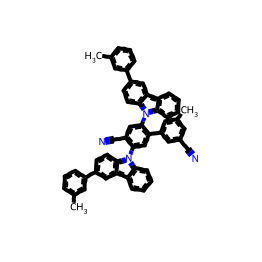 Cc1cccc(-c2ccc3c(c2)c2ccccc2n3-c2cc(-c3cc(C)cc(C#N)c3)c(-n3c4ccccc4c4cc(-c5cccc(C)c5)ccc43)cc2C#N)c1